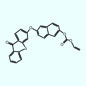 C=COC(=O)Oc1ccc2cc(Oc3ccc4c(=O)c5ccccc5sc4c3)ccc2c1